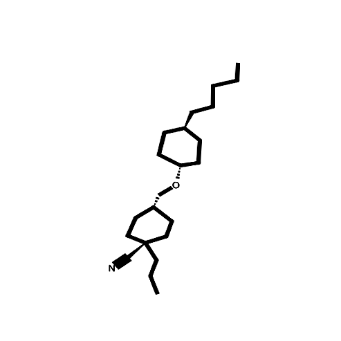 CCCCC[C@H]1CC[C@H](OC[C@H]2CC[C@@](C#N)(CCC)CC2)CC1